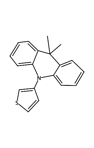 CC1(C)c2ccccc2N(c2ccsc2)c2ccccc21